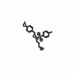 COc1ccc(CON(CCCBr)S(=O)(=O)c2ccc(C)cc2)cc1